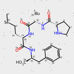 CC[C@H](C)[C@H](NC(=O)[C@@H]1CCCN1)C(=O)N[C@@H](CC[Se]C)C(=O)N[C@@H](Cc1ccccc1)C(=O)O